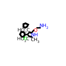 CC1=C(C(=O)O)C(c2ccccc2Cl)C(C(=O)O)=C(COCCN)N1.c1ccccc1